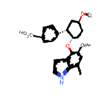 CCO[C@H]1CC[C@H](Oc2c(OC)cc(C)c3[nH]ccc23)[C@H](c2ccc(C(=O)O)cc2)C1